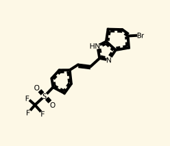 O=S(=O)(c1ccc(C=Cc2nc3cc(Br)ccc3[nH]2)cc1)C(F)(F)F